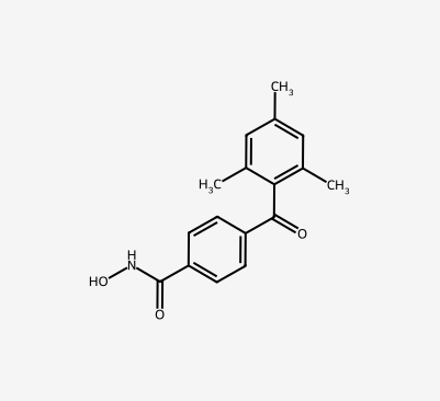 Cc1cc(C)c(C(=O)c2ccc(C(=O)NO)cc2)c(C)c1